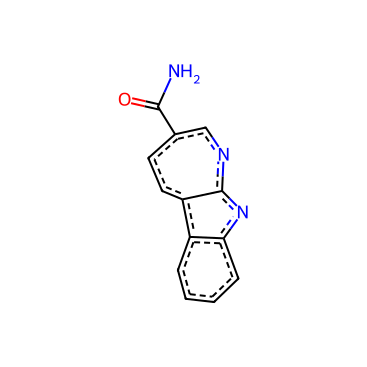 NC(=O)c1ccc2c3ccccc3nc-2nc1